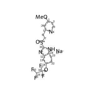 COc1ccnc(CC[S+]([O-])c2nc3cc(OC(F)(F)C(F)F)ccc3[nH]2)c1.[Na]